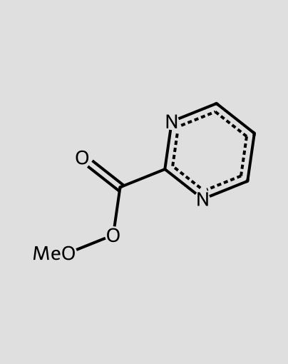 COOC(=O)c1ncccn1